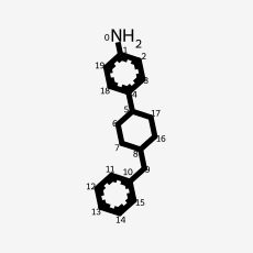 Nc1ccc(C2CCC(Cc3ccccc3)CC2)cc1